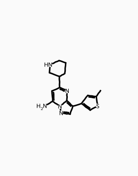 Cc1cc(-c2cnn3c(N)cc(C4CCCNC4)nc23)cs1